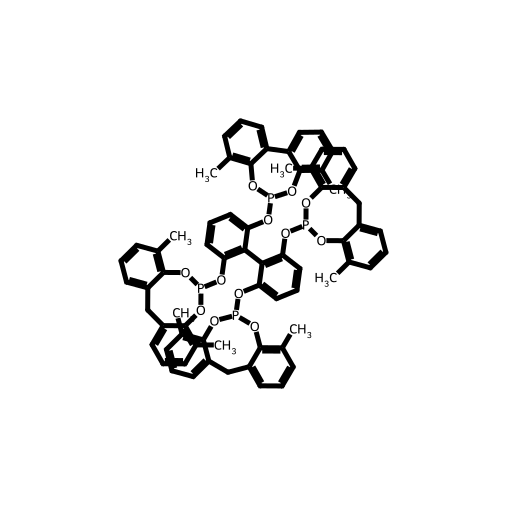 Cc1cccc2c1OP(Oc1cccc(OP3Oc4c(C)cccc4Cc4cccc(C)c4O3)c1-c1c(OP3Oc4c(C)cccc4Cc4cccc(C)c4O3)cccc1Op1oc3c(C)cccc3c3cccc(C)c3o1)Oc1c(C)cccc1C2